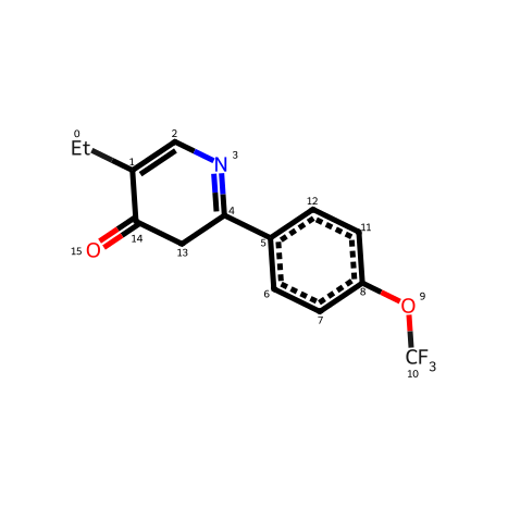 [CH2]CC1=CN=C(c2ccc(OC(F)(F)F)cc2)CC1=O